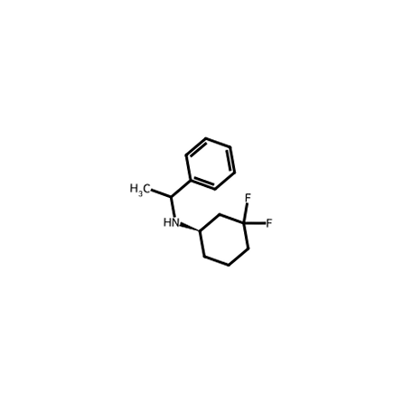 CC(N[C@@H]1CCCC(F)(F)C1)c1ccccc1